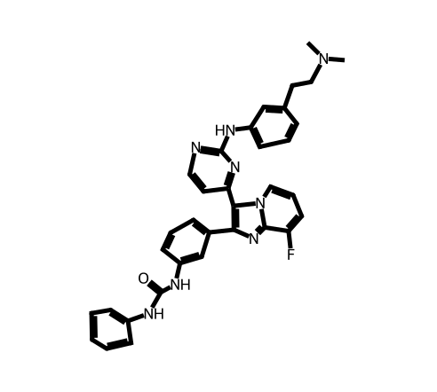 CN(C)CCc1cccc(Nc2nccc(-c3c(-c4cccc(NC(=O)Nc5ccccc5)c4)nc4c(F)cccn34)n2)c1